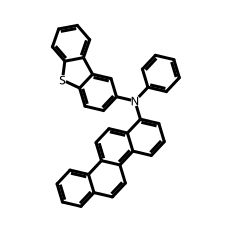 c1ccc(N(c2ccc3sc4ccccc4c3c2)c2cccc3c2ccc2c4ccccc4ccc32)cc1